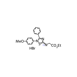 Br.CCOC(=O)C/N=c1\nc(-c2ccccc2)n(-c2ccc(OC)cc2)s1